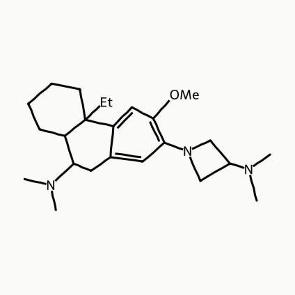 CCC12CCCCC1C(N(C)C)Cc1cc(N3CC(N(C)C)C3)c(OC)cc12